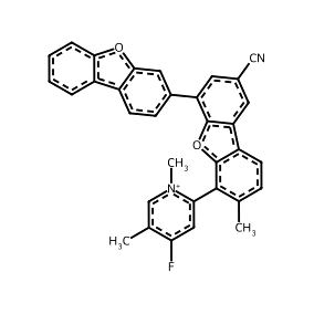 Cc1c[n+](C)c(-c2c(C)ccc3c2oc2c(-c4ccc5c(c4)oc4ccccc45)cc(C#N)cc23)cc1F